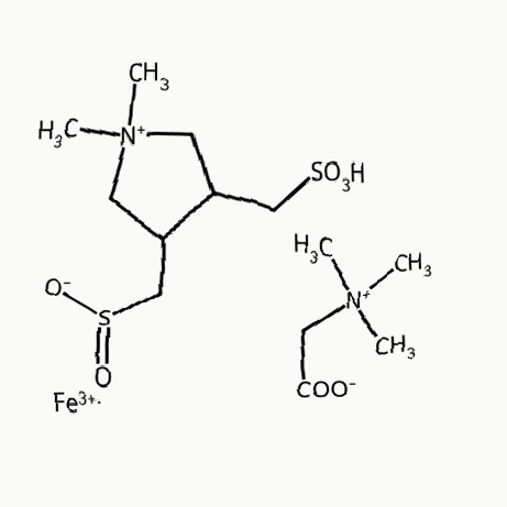 C[N+](C)(C)CC(=O)[O-].C[N+]1(C)CC(CS(=O)[O-])C(CS(=O)(=O)O)C1.[Fe+3]